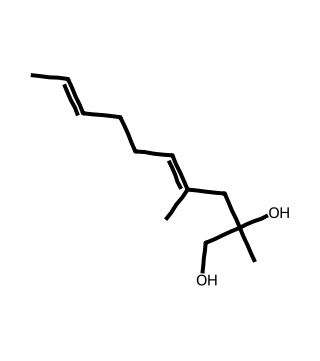 C/C=C/CC/C=C(\C)CC(C)(O)CO